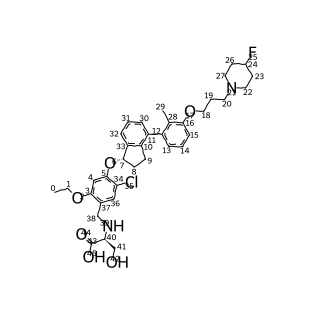 CCOc1cc(O[C@H]2CCc3c(-c4cccc(OCCCN5CCC(F)CC5)c4C)cccc32)c(Cl)cc1CN[C@@H](CO)C(=O)O